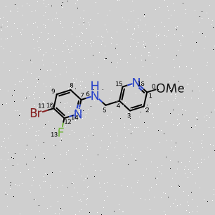 COc1ccc(CNc2ccc(Br)c(F)n2)cn1